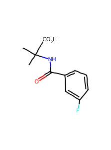 CC(C)(NC(=O)c1cccc(F)c1)C(=O)O